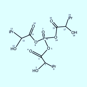 CC(C)C(O)C(=O)OP(=O)(OC(=O)C(O)C(C)C)OC(=O)C(O)C(C)C